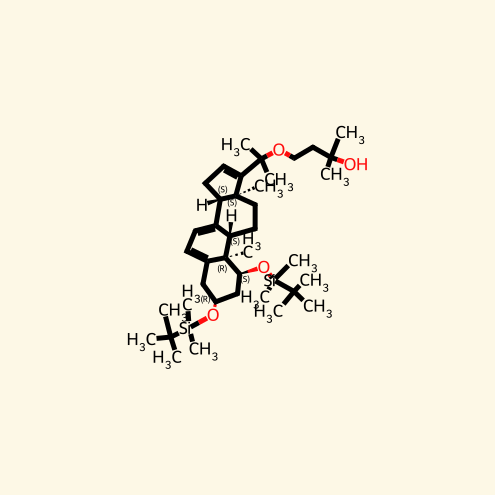 CC(C)(O)CCOC(C)(C)C1=CC[C@H]2C3=CC=C4C[C@@H](O[Si](C)(C)C(C)(C)C)C[C@H](O[Si](C)(C)C(C)(C)C)[C@]4(C)[C@H]3CC[C@]12C